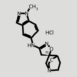 Cl.Cn1ncc2cc(NC3=NO[C@@]4(C3)CN3CCC4CC3)ccc21